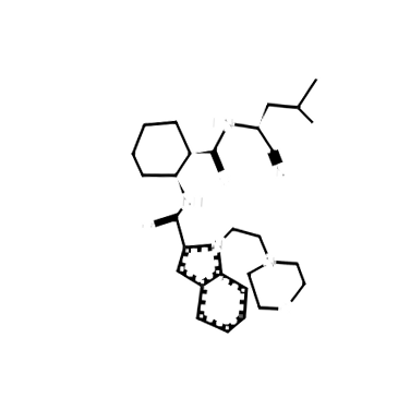 CC(C)C[C@@H](C#N)NC(=O)[C@@H]1CCCC[C@@H]1NC(=O)c1cc2ccccc2n1CCN1CCOCC1